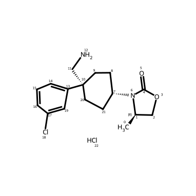 C[C@@H]1COC(=O)N1[C@H]1CC[C@](CN)(c2cccc(Cl)c2)CC1.Cl